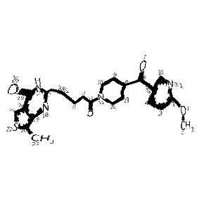 COc1ccc(C(=O)C2CCN(C(=O)CCCc3nc4c(C)scc4c(=O)[nH]3)CC2)cn1